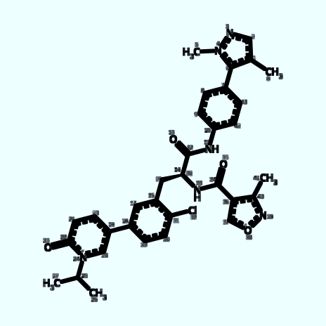 Cc1cnn(C)c1-c1ccc(NC(=O)[C@H](Cc2cc(-c3ccc(=O)n(C(C)C)c3)ccc2Cl)NC(=O)c2conc2C)cc1